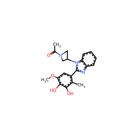 COc1cc(-c2nc3ccccc3n2C2CN(C(C)=O)C2)c(C)c(O)c1O